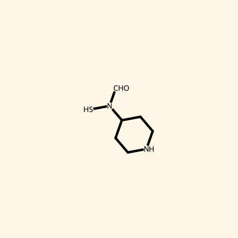 O=CN(S)C1CCNCC1